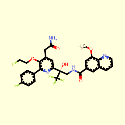 COc1cc(C(=O)NC[C@](O)(c2cc(CC(N)=O)c(OCCF)c(-c3ccc(F)cc3)n2)C(F)(F)F)cc2cccnc12